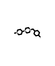 CN1CCC(N2CCN(CC3CCC(I)CC3)CC2)CC1